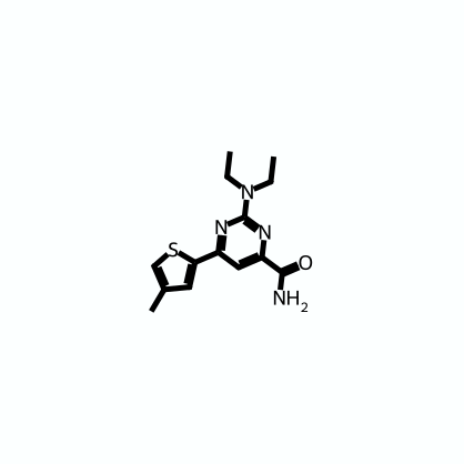 CCN(CC)c1nc(C(N)=O)cc(-c2cc(C)cs2)n1